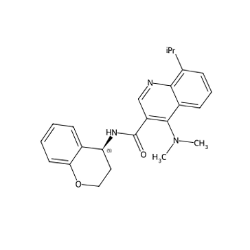 CC(C)c1cccc2c(N(C)C)c(C(=O)N[C@H]3CCOc4ccccc43)cnc12